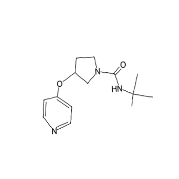 CC(C)(C)NC(=O)N1CCC(Oc2ccncc2)C1